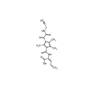 C#CCNC(=O)C(=O)c1c(C)c(C(=O)N/C(=C/C=C)C(=O)O)n(C)c1C